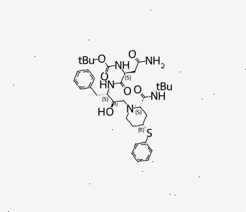 CC(C)(C)NC(=O)[C@@H]1C[C@H](Sc2ccccc2)CCN1C[C@@H](O)[C@H](Cc1ccccc1)NC(=O)[C@H](CC(N)=O)NC(=O)OC(C)(C)C